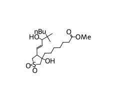 CCCCC(C)(C)C(O)/C=C/C1CS(=O)(=O)CC1(O)CCCCCCC(=O)OC